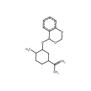 C=C(C)C1CCC(C)C(OC2OCOc3ccccc32)C1